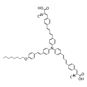 [C-]#[N+]/C(=C\c1ccc(/C=C/C=C/c2ccc(N(c3ccc(/C=C/C=C/c4ccc(/C=C(\[N+]#[C-])C(=O)O)cc4)cc3)c3ccc(/C=C/c4ccc(OCCCCCCCC)cc4)cc3)cc2)cc1)C(=O)O